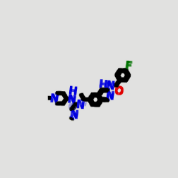 C=N/C=C(\N=C(/C)c1ccc2cnc(NC(=O)c3ccc(F)cc3)cc2c1)NC1CCN(C)CC1